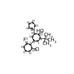 CC(C)(C)c1cc(-c2c(F)cccc2Cl)cc(-n2cccc2)c1O